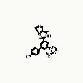 CC(NC(=O)c1cc(-c2ccc(Cl)cc2)cc(-n2ncnc2N(C)C)c1)c1cnccn1